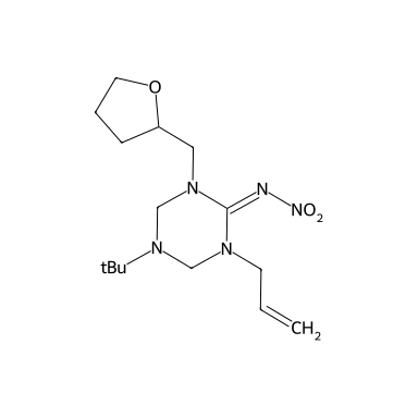 C=CCN1CN(C(C)(C)C)CN(CC2CCCO2)C1=N[N+](=O)[O-]